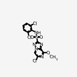 COc1nc(Cl)cn2nc(S(=O)(=O)Nc3c(Cl)cccc3Cl)nc12